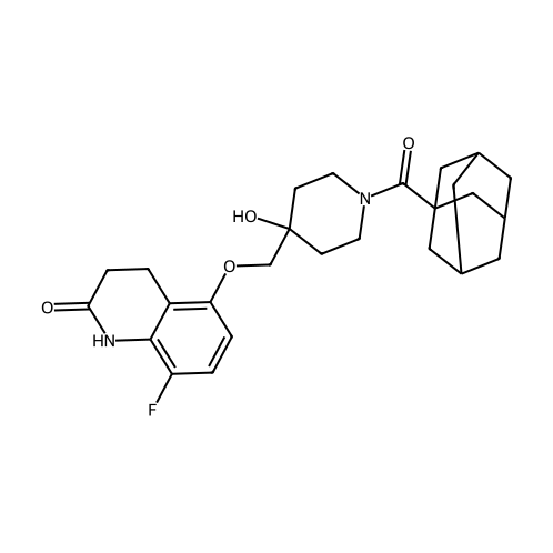 O=C1CCc2c(OCC3(O)CCN(C(=O)C45CC6CC(CC(C6)C4)C5)CC3)ccc(F)c2N1